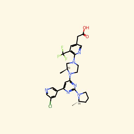 C[C@H]1CN(c2ncc(CC(=O)O)cc2C(F)(F)F)CCN1c1cc(-c2cncc(Cl)c2)nc(N2CCC[C@@H]2C)n1